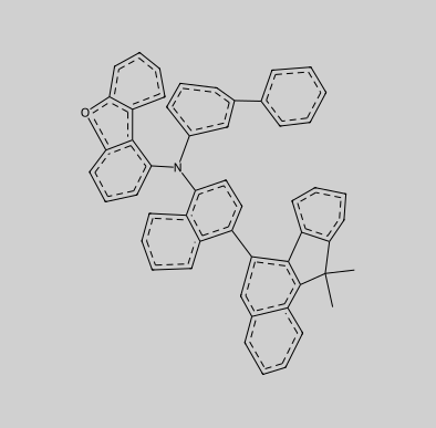 CC1(C)c2ccccc2-c2c(-c3ccc(N(c4cccc(-c5ccccc5)c4)c4cccc5oc6ccccc6c45)c4ccccc34)cc3ccccc3c21